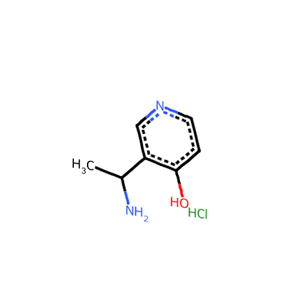 CC(N)c1cnccc1O.Cl